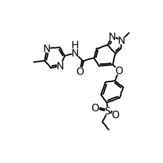 CCS(=O)(=O)c1ccc(Oc2cc(C(=O)Nc3cnc(C)cn3)cc3nn(C)cc23)cc1